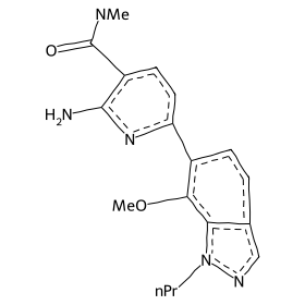 CCCn1ncc2ccc(-c3ccc(C(=O)NC)c(N)n3)c(OC)c21